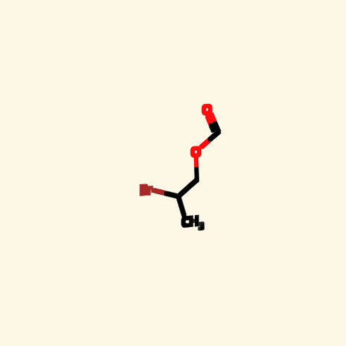 CC(Br)COC=O